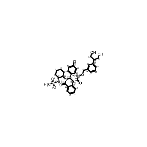 CS(=O)(=O)N[C@H]1CCCCC1N1C(=O)c2ccccc2[C@@H](C(=O)NOCc2cccc(C(CO)CO)c2)[C@@H]1c1ccc(Cl)cc1